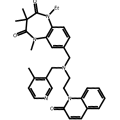 CCN1C(=O)C(C)(C)C(=O)N(C)c2cc(CN(CCn3c(=O)ccc4ccccc43)Cc3cnccc3C)ccc21